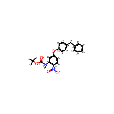 CN(C(=O)OC(C)(C)C)c1cc(Oc2ccc(Cc3ccccc3)cc2)ccc1[N+](=O)[O-]